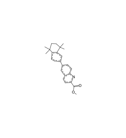 COC(=O)c1ccc2cc(-c3ccc4c(c3)C(C)(C)CCC4(C)C)ccc2n1